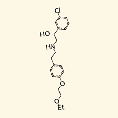 CCOCCOc1ccc(CCNCC(O)c2cccc(Cl)c2)cc1